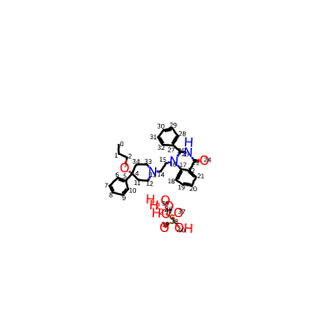 CCCOC1(c2ccccc2)CCN(CCN2c3ccccc3C(=O)NC2c2ccccc2)CC1.O.O.O=S(=O)(O)O